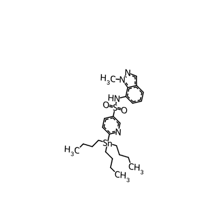 CCC[CH2][Sn]([CH2]CCC)([CH2]CCC)[c]1ccc(S(=O)(=O)Nc2cccc3cnn(C)c23)cn1